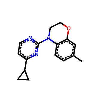 Cc1ccc2c(c1)OCCN2c1nccc(C2CC2)n1